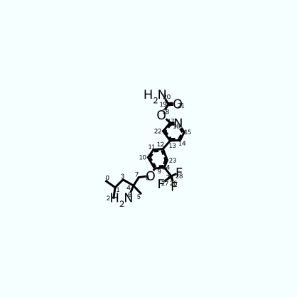 CC(C)CC(C)(N)COc1ccc(-c2ccnc(OC(N)=O)c2)cc1C(F)(F)F